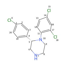 Clc1ccc([C@H]2CNCCN2c2ccc(Cl)cc2Cl)cc1